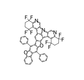 FC1(F)CCC(F)(F)c2c1ncc1c2c2cc3c(oc4c(-c5ccccc5)c5c(oc6ccccc65)c(-c5ccccc5)c43)c3c4c5c(ncc4n1c23)C(F)(F)CCC5(F)F